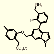 CCOC(=O)Cc1ccc(C)cc1OCc1cc(-c2cccc(CN)c2F)c2ccn(C)c2c1